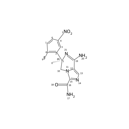 C[C@@]1(c2cc([N+](=O)[O-])ccc2F)Cn2c(cnc2C(N)=O)C(N)=N1